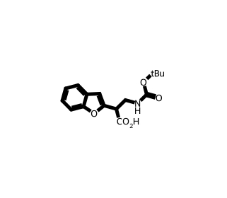 CC(C)(C)OC(=O)NCC(C(=O)O)c1cc2ccccc2o1